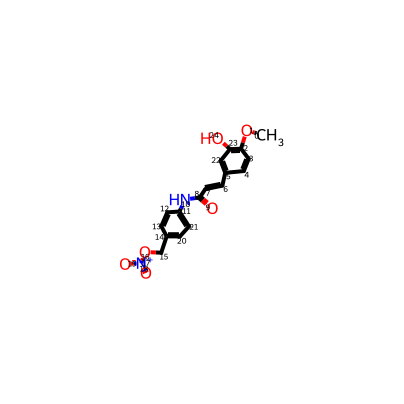 COc1ccc(/C=C/C(=O)Nc2ccc(CO[N+](=O)[O-])cc2)cc1O